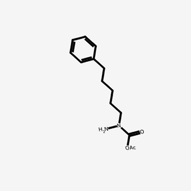 CC(=O)OC(=O)N(N)CCCCCc1ccccc1